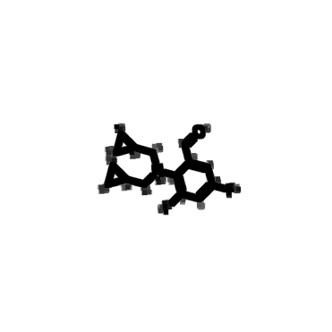 O=Cc1cc(F)cc(F)c1N(CC1CC1)CC1CC1